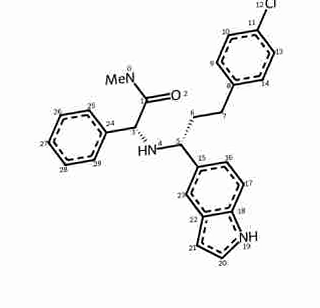 CNC(=O)[C@H](N[C@H](CCc1ccc(Cl)cc1)c1ccc2[nH]ccc2c1)c1ccccc1